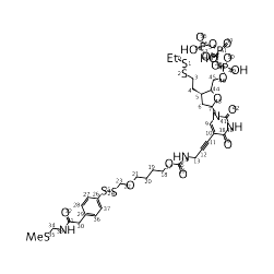 CCSSCC[C@@H]1C[C@H](n2cc(C#CCNC(=O)OCCCCOCSSc3ccc(CC(=O)NCSC)cc3)c(=O)[nH]c2=O)OC1COP(=O)(O)OP(=O)(O)OP(=O)(O)O